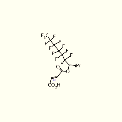 CC(C)C(OC(=O)/C=C/C(=O)O)C(F)(F)C(F)(F)C(F)(F)C(F)(F)C(F)(F)C(F)(F)F